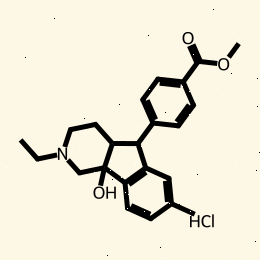 CCN1CCC2C(c3ccc(C(=O)OC)cc3)c3cc(C)ccc3C2(O)C1.Cl